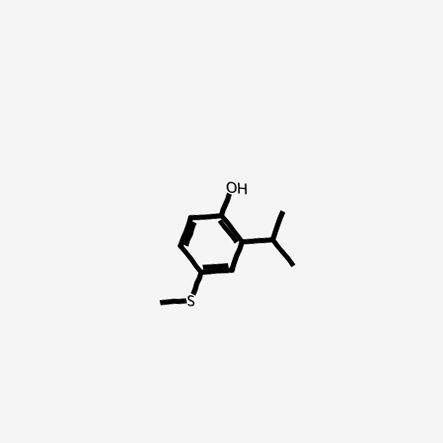 CSc1ccc(O)c(C(C)C)c1